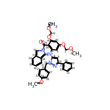 COCOc1cc(Nc2cc(-c3ccccc3)nn2Cc2ccc(OC)cc2)c(C(=O)n2cc3ccccc3c2)c(OCOC)c1